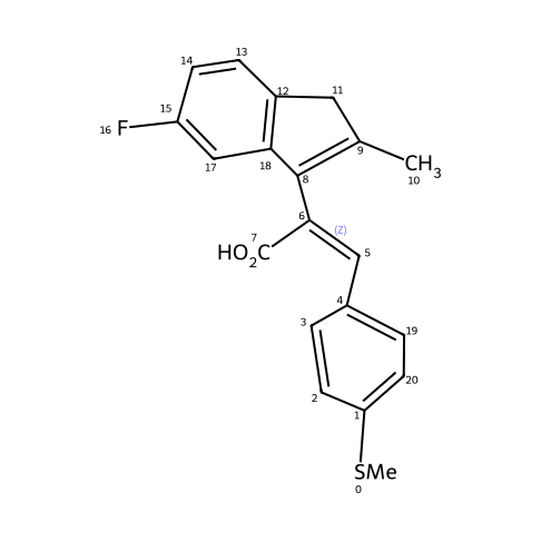 CSc1ccc(/C=C(\C(=O)O)C2=C(C)Cc3ccc(F)cc32)cc1